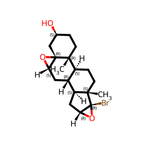 C[C@]12CC[C@H]3[C@@H](C[C@@H]4O[C@@]45C[C@@H](O)CC[C@]35C)[C@@H]1C[C@H]1O[C@]12Br